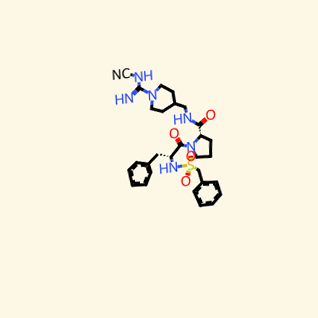 N#CNC(=N)N1CCC(CNC(=O)[C@@H]2CCCN2C(=O)[C@@H](Cc2ccccc2)NS(=O)(=O)Cc2ccccc2)CC1